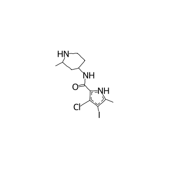 Cc1[nH]c(C(=O)NC2CCNC(C)C2)c(Cl)c1I